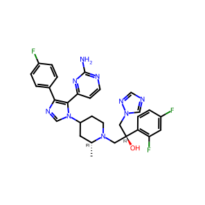 C[C@@H]1CC(n2cnc(-c3ccc(F)cc3)c2-c2ccnc(N)n2)CCN1C[C@](O)(Cn1cncn1)c1ccc(F)cc1F